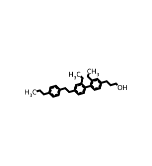 CCCc1ccc(CCc2ccc(-c3ccc(CCCO)cc3CC)c(CC)c2)cc1